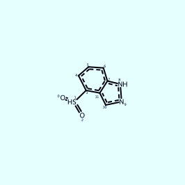 O=[SH](=O)c1cccc2[nH]ncc12